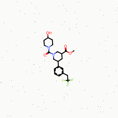 COC(=O)C1CC(c2cccc(CC(F)(F)F)c2)CN(C(=O)N2CCC(O)CC2)C1